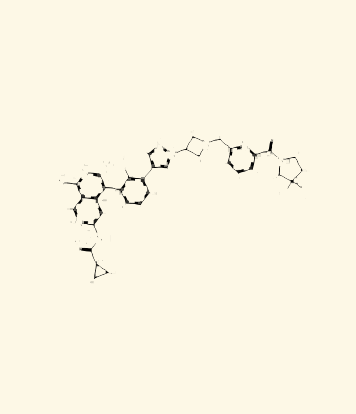 COc1c(-c2cnn(C3CN(Cc4cccc(C(=O)N5CCC(F)(F)C5)n4)C3)c2)cccc1-c1cnc(N)c2cnc(NC(=O)C3CC3)cc12